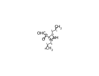 C=CCC1NN(CC=C)C1C(=O)C=O